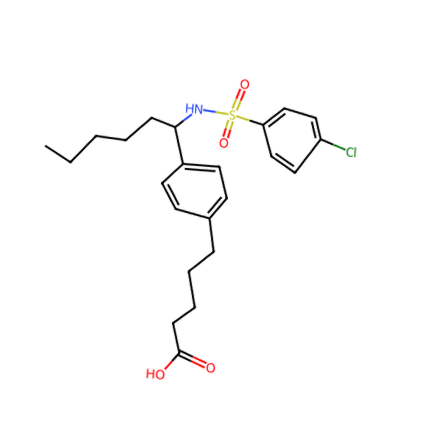 CCCCCC(NS(=O)(=O)c1ccc(Cl)cc1)c1ccc(CCCCC(=O)O)cc1